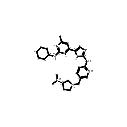 Cc1cc(-c2cnc(Nc3ccc(CN4CC[C@@H](N(C)C)C4)cn3)s2)nc(NC2CCCCC2)n1